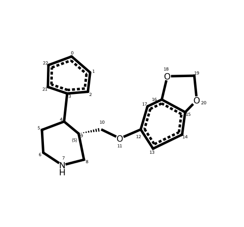 c1ccc(C2CCNC[C@H]2COc2ccc3c(c2)OCO3)cc1